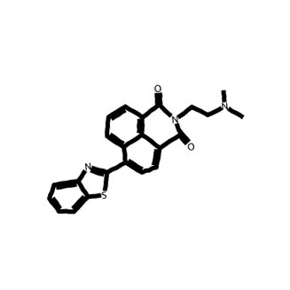 CN(C)CCN1C(=O)c2cccc3c(-c4nc5ccccc5s4)ccc(c23)C1=O